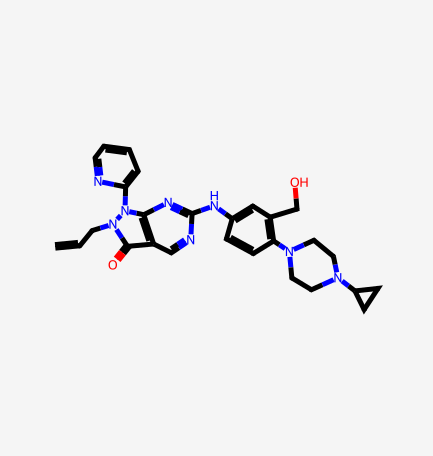 C=CCn1c(=O)c2cnc(Nc3ccc(N4CCN(C5CC5)CC4)c(CO)c3)nc2n1-c1ccccn1